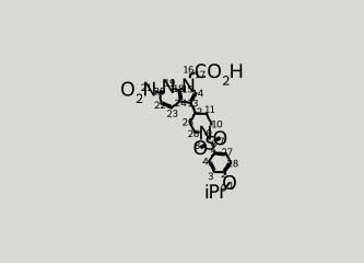 CC(C)Oc1ccc(S(=O)(=O)N2CCC(c3cn(CC(=O)O)c4nc([N+](=O)[O-])ccc34)CC2)cc1